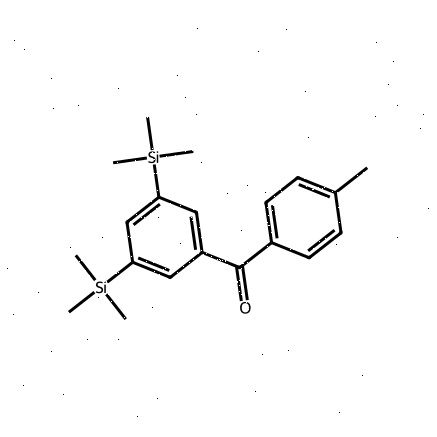 Cc1ccc(C(=O)c2cc([Si](C)(C)C)cc([Si](C)(C)C)c2)cc1